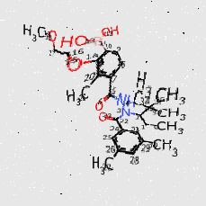 CCC(N(NC(=O)c1ccc(B(O)O)c(OCCOC)c1C)C(=O)c1cc(C)cc(C)c1)C(C)(C)C